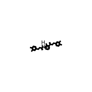 C=C(CCc1ccc(C)c(C)c1)NC12CCC(CC1C)N(C(=C)CCc1ccc(C)c(C)c1)C2